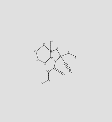 CCOC(=O)CC(C#N)(CC)C[Si]1(C)CCCCC1